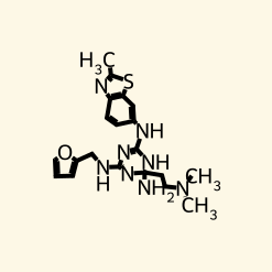 Cc1nc2ccc(NC3=NC(NCc4ccco4)=NC(N)(CCN(C)C)N3)cc2s1